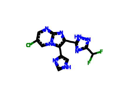 FC(F)c1n[nH]c(-c2nc3ncc(Cl)cn3c2-c2c[nH]cn2)n1